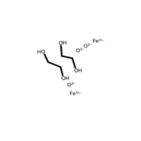 OCCO.OCCO.[Fe+3].[Fe+3].[O-2].[O-2].[O-2]